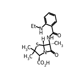 CCNc1ccccc1C(=O)N[C@@]1(C)C(=O)N2[C@@H](C(=O)O)C(C)(C)S[C@@H]21